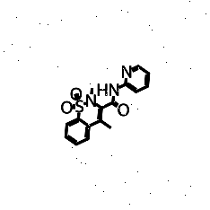 CC1=C(C(=O)Nc2ccccn2)N(C)S(=O)(=O)c2ccccc21